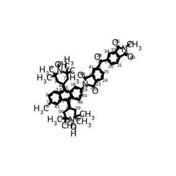 Cc1ccc2c(=C3CC(C)(C)N(O)C(C)(C)C3)c3cc(N4C(=O)c5ccc(C(=O)c6ccc7c(c6)C(=O)N(C)C7=O)cc5C4=O)ccc3c(=C3CC(C)(C)N(O)C(C)(C)C3)c2c1